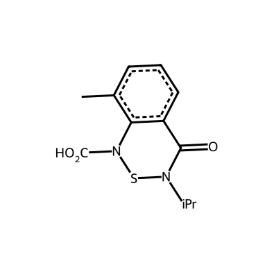 Cc1cccc2c1N(C(=O)O)SN(C(C)C)C2=O